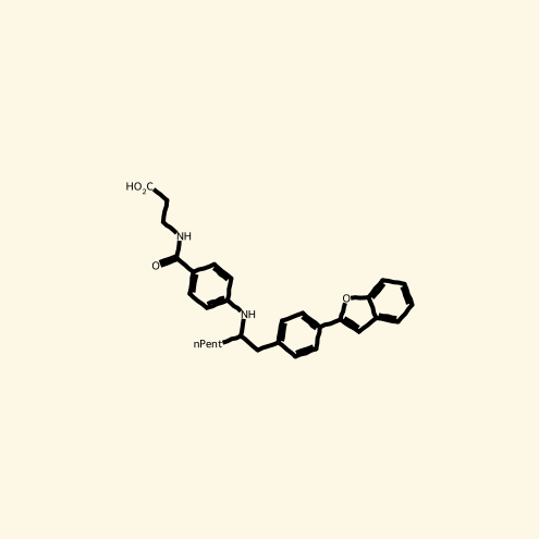 CCCCCC(Cc1ccc(-c2cc3ccccc3o2)cc1)Nc1ccc(C(=O)NCCC(=O)O)cc1